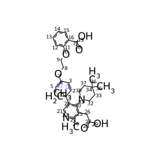 C=C(/C=C\C(=C/C)OCCOc1ccccc1C(=O)O)c1cnc(C)c(CC(=O)O)c1N1CCC(C)(C)CC1